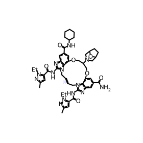 CCn1nc(C)cc1C(=O)Nc1nc2cc(C(N)=O)cc3c2n1C/C=C/Cn1c(NC(=O)c2cc(C)nn2CC)nc2cc(C(=O)NC4CCCCC4)cc(c21)OCC(N1CC2CCC(C1)O2)CO3